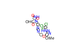 COc1cc2ncnc(Nc3ccc(Cl)c(Cl)c3F)c2cc1OC1CCC(CN2CC3CC2CN3c2ccc3c(c2)C(C(=O)C=O)N(C2CCC(=O)NC2=O)C3)CC1